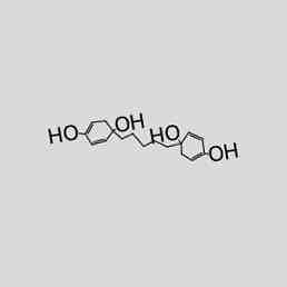 OC1=CCC(O)(CCCCCC2(O)C=CC(O)=CC2)C=C1